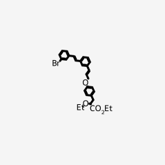 CCOC(=O)C(Cc1ccc(OCC=Cc2cccc(C=Cc3cccc(Br)c3)c2)cc1)OCC